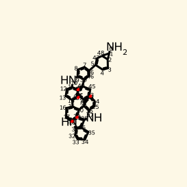 NC1C2C=CC(c3ccc(Nc4ccc(-c5ccccc5-c5ccccc5Nc5c[nH]c6ccccc56)cc4)c(-c4ccccc4)c3)=CC12